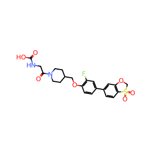 O=C(O)NCC(=O)N1CCC(COc2ccc(-c3ccc4c(c3)OCS4(=O)=O)cc2F)CC1